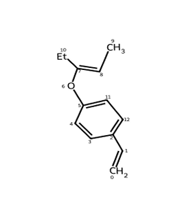 C=Cc1ccc(OC(=CC)CC)cc1